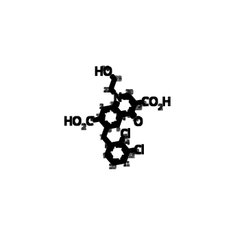 O=C(O)c1cc2c(cc1Cc1cccc(Cl)c1Cl)c(=O)c(C(=O)O)cn2CCO